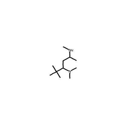 CNC(C)CC(N(C)C)C(C)(C)C